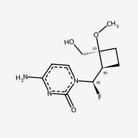 CO[C@@]1(CO)CC[C@H]1[C@@H](F)n1ccc(N)nc1=O